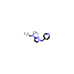 CN(CC(F)(F)F)c1ccn(Cc2ccncc2)n1